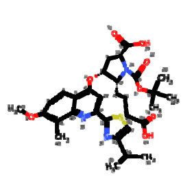 COc1ccc2c(O[C@@H]3C[C@@H](C(=O)O)N(C(=O)OC(C)(C)C)[C@@H]3CCCC(=O)O)cc(-c3nc(C(C)C)cs3)nc2c1C